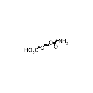 NCC(=O)OCCOCC(=O)O